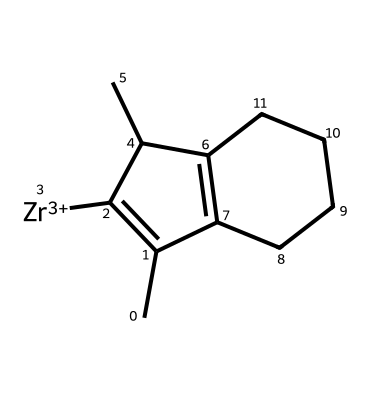 CC1=[C]([Zr+3])C(C)C2=C1CCCC2